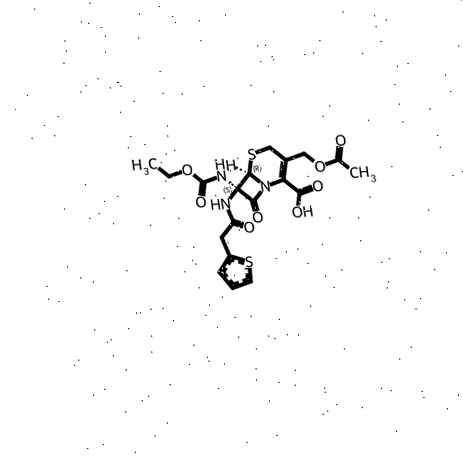 CCOC(=O)N[C@@]1(NC(=O)Cc2cccs2)C(=O)N2C(C(=O)O)=C(COC(C)=O)CS[C@@H]21